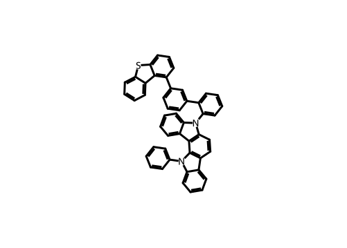 c1ccc(-n2c3ccccc3c3ccc4c(c5ccccc5n4-c4ccccc4-c4cccc(-c5cccc6sc7ccccc7c56)c4)c32)cc1